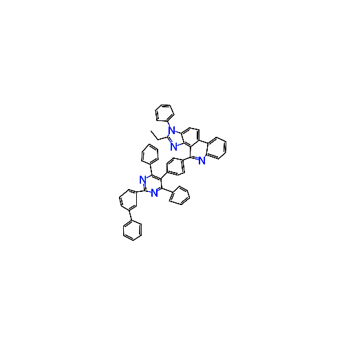 CCc1nc2c3c(-c4ccc(-c5c(-c6ccccc6)nc(-c6cccc(-c7ccccc7)c6)nc5-c5ccccc5)cc4)nc4ccccc4c3ccc2n1-c1ccccc1